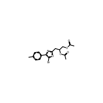 CC(=O)OCC(Cc1nc(-c2ccc(C)cc2)c(Br)o1)OC(C)=O